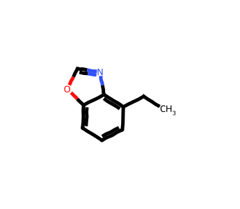 C[CH]c1cccc2ocnc12